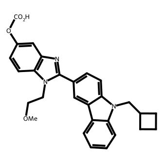 COCCn1c(-c2ccc3c(c2)c2ccccc2n3CC2CCC2)nc2cc(OC(=O)O)ccc21